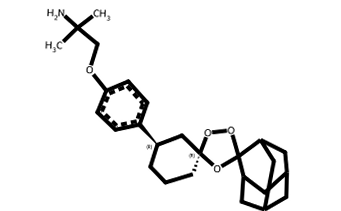 CC(C)(N)COc1ccc([C@@H]2CCC[C@]3(C2)OOC2(O3)C3CC4CC(C3)CC2C4)cc1